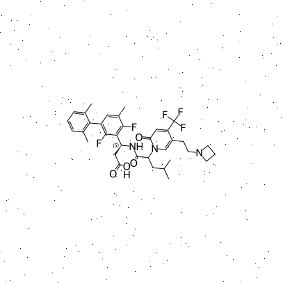 Cc1cc(-c2c(C)cccc2C)c(F)c([C@H](CC(=O)O)NC(=O)C(CC(C)C)n2cc(CCN3CCC3)c(C(F)(F)F)cc2=O)c1F